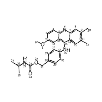 COc1ccc2nc3cc(C)c(C)cc3c(Nc3ccc(COC(=O)NC(C)C)cc3)c2c1